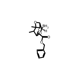 B[C@@H]1OC2C(C(=O)OCc3ccccc3)CC3C1OC3(C)C2C